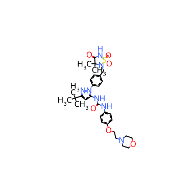 CC(C)(C)c1cc(NC(=O)Nc2ccc(OCCN3CCOCC3)cc2)n(-c2ccc(CN3C(C)(C)C(=O)NS3(=O)=O)cc2)n1